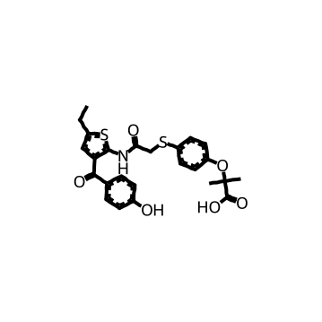 CCc1cc(C(=O)c2ccc(O)cc2)c(NC(=O)CSc2ccc(OC(C)(C)C(=O)O)cc2)s1